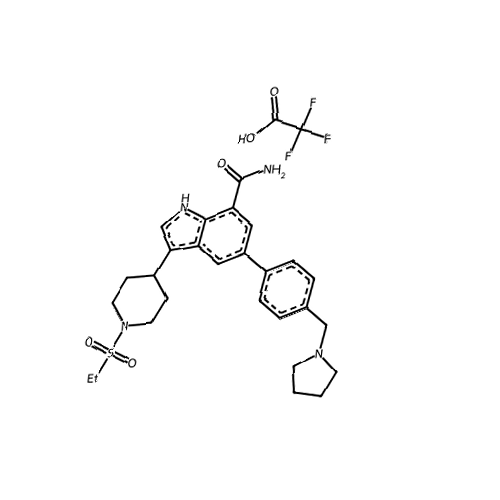 CCS(=O)(=O)N1CCC(c2c[nH]c3c(C(N)=O)cc(-c4ccc(CN5CCCC5)cc4)cc23)CC1.O=C(O)C(F)(F)F